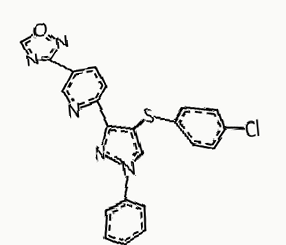 Clc1ccc(Sc2cn(-c3ccccc3)nc2-c2ccc(-c3ncon3)cn2)cc1